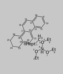 CCCCCCCC.CCO[SiH](OCC)OCC.c1ccc2c(c1)ccc1c3c(ccc12)CCCC3